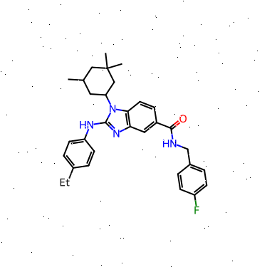 CCc1ccc(Nc2nc3cc(C(=O)NCc4ccc(F)cc4)ccc3n2C2CC(C)CC(C)(C)C2)cc1